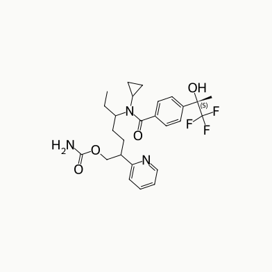 CCC(CCC(COC(N)=O)c1ccccn1)N(C(=O)c1ccc([C@](C)(O)C(F)(F)F)cc1)C1CC1